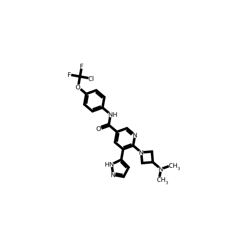 CN(C)C1CN(c2ncc(C(=O)Nc3ccc(OC(F)(F)Cl)cc3)cc2-c2ccn[nH]2)C1